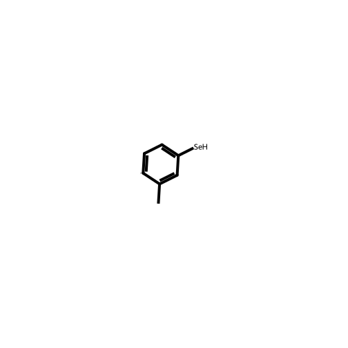 Cc1[c]ccc([SeH])c1